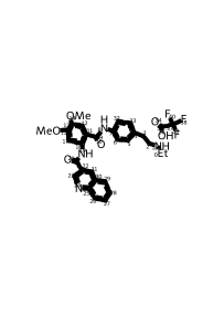 CCNCCc1ccc(NC(=O)c2cc(OC)c(OC)cc2NC(=O)c2cnc3ccccc3c2)cc1.O=C(O)C(F)(F)F